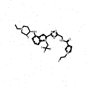 CCN1CC[C@@H](Nc2cccc3c2cc(-c2noc(CNC(=O)c4ccn(CCF)c4)n2)n3CC(F)(F)F)[C@@H](F)C1